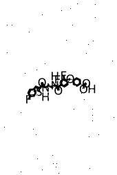 O=C(NCCNC(=O)c1ccc(O[C@H]2CC[C@@H](C(=O)O)CC2)c(F)c1F)c1cc2ccc(F)cc2s1